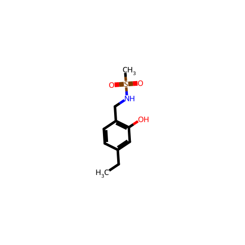 CCc1ccc(CNS(C)(=O)=O)c(O)c1